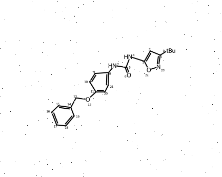 CC(C)(C)c1cc(NC(=O)Nc2ccc(OCc3ccccc3)cc2)on1